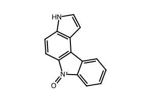 O=[N+]1c2ccccc2-c2c1ccc1[nH]ccc21